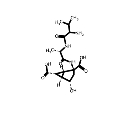 CC(C)C(N)C(=O)N[C@@H](C)C(=O)N[C@@]1(C(=O)O)C[C@H](O)[C@H]2[C@H](C(=O)O)[C@H]21